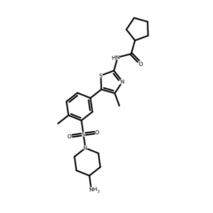 Cc1ccc(-c2sc(NC(=O)C3CCCC3)nc2C)cc1S(=O)(=O)N1CCC(N)CC1